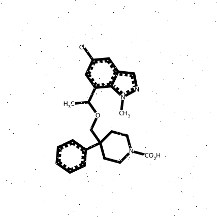 CC(OCC1(c2ccccc2)CCN(C(=O)O)CC1)c1cc(Cl)cc2cnn(C)c12